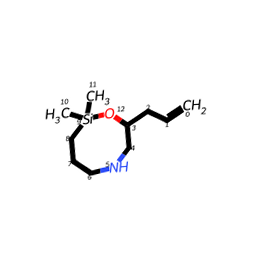 C=CCC1CNCCC[Si](C)(C)O1